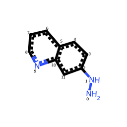 NNc1ccc2cccnc2c1